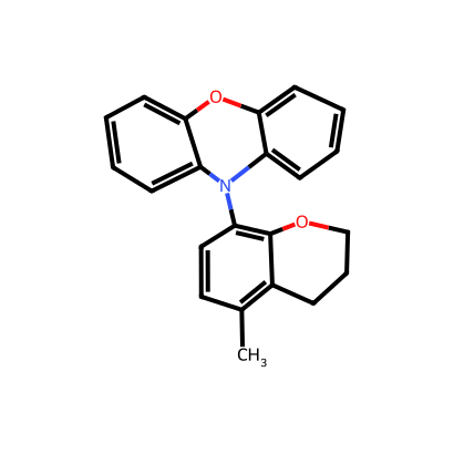 Cc1ccc(N2c3ccccc3Oc3ccccc32)c2c1CCCO2